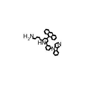 N/C=C\C=C/CC1C=C(c2c3ccccc3cc3ccccc23)C=C(c2cccc(-n3c4ccccc4c4cnccc43)c2)N1